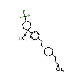 C#CC1(c2ccc(CC[C@H]3CC[C@H](CCC=C)CC3)cc2)CCC(C(F)(F)F)CC1